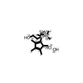 CC1=C(C)C(C)[C]([Zr]([CH3])(=[O])(=[SiH2])([CH2]CO)[SiH](C)C)=C1C.Cl.Cl